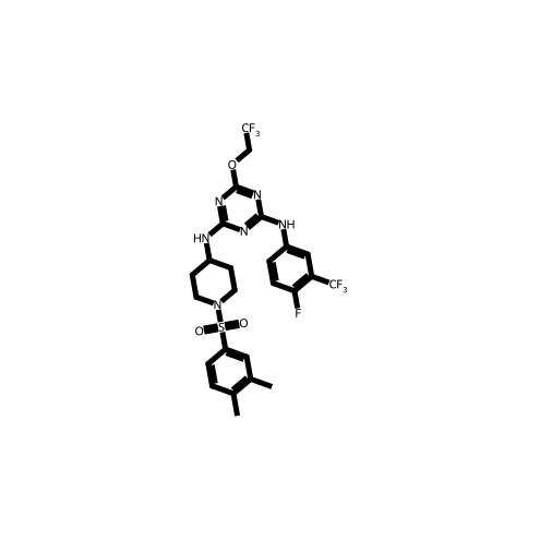 Cc1ccc(S(=O)(=O)N2CCC(Nc3nc(Nc4ccc(F)c(C(F)(F)F)c4)nc(OCC(F)(F)F)n3)CC2)cc1C